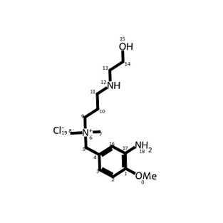 COc1ccc(C[N+](C)(C)CCCNCCO)cc1N.[Cl-]